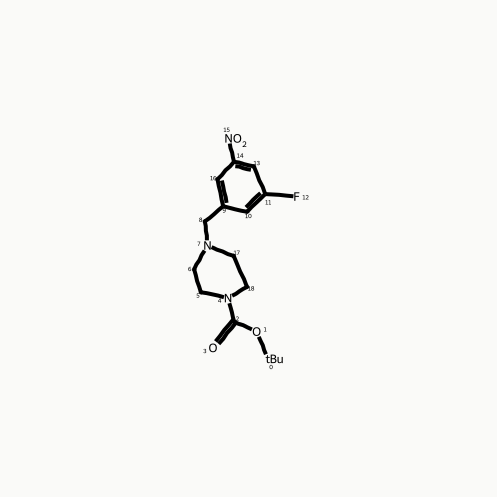 CC(C)(C)OC(=O)N1CCN(Cc2cc(F)cc([N+](=O)[O-])c2)CC1